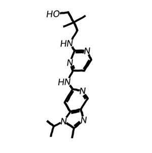 Cc1nc2cnc(Nc3ccnc(NCC(C)(C)CO)n3)cc2n1C(C)C